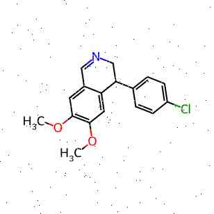 COc1cc2c(cc1OC)C(c1ccc(Cl)cc1)CN=C2